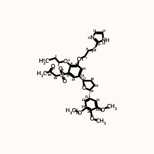 CCCOc1c(OCCSc2ncc[nH]2)cc([C@H]2CC[C@H](c3cc(OC)c(OC)c(OC)c3)O2)cc1S(=O)(=O)CC(C)=O